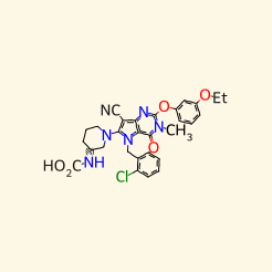 CCOc1cccc(Oc2nc3c(C#N)c(N4CCC[C@@H](NC(=O)O)C4)n(Cc4ccccc4Cl)c3c(=O)n2C)c1